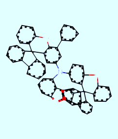 c1ccc(-c2cc(N(c3ccc4c(c3)C3(c5ccccc5O4)c4ccccc4-c4ccccc43)c3cccc4oc5ccccc5c34)cc3c2Oc2ccccc2C32c3ccccc3-c3ccccc32)cc1